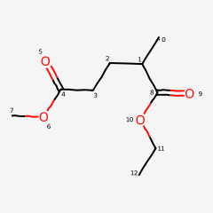 [CH2]C(CCC(=O)OC)C(=O)OCC